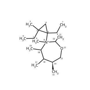 CCC1(C)CC1(CC)[N+]1(C)C(C)OC[C@@H](C)C(C)C1C